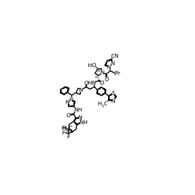 Cc1ncsc1-c1ccc(C(CC(=O)N2CC(C(c3ccccc3)n3cc(NC(=O)c4n[nH]c5c4C[C@H]4C(F)(F)[C@@]4(C)C5)cn3)C2)NC(=O)[C@@H]2C[C@@H](O)CN2C(=O)C(C(C)C)n2ccc(C#N)n2)cc1